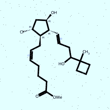 COC(=O)CCC/C=C\C[C@@H]1[C@@H](/C=C/CC(O)C2(C)CCC2)[C@H](O)C[C@H]1Cl